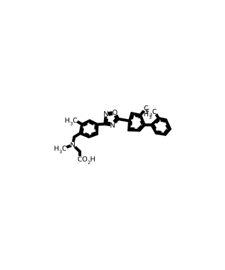 Cc1cc(-c2noc(-c3ccc(-c4ccccc4C(F)(F)F)c(C)c3)n2)ccc1CN(C)CC(=O)O